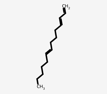 C=CC=CCCCC=CCCCCC